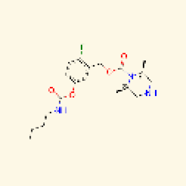 CCCCNC(=O)Oc1ccc(F)c(COC(=O)N2[C@H](C)CNC[C@@H]2C)c1